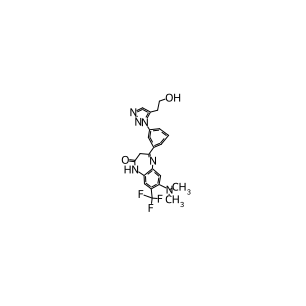 CN(C)c1cc2c(cc1C(F)(F)F)NC(=O)CC(c1cccc(-n3nncc3CCO)c1)=N2